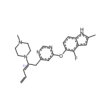 C=C/C=C(\Cc1cc(Oc2ccc3[nH]c(C)cc3c2F)ncn1)N1CCN(C)CC1